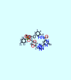 COc1cccc(CNC(=O)c2cc(-c3nnn(CC4COC(COS(=O)(=O)c5ccc(C)cc5)CO4)n3)nc(C)n2)c1